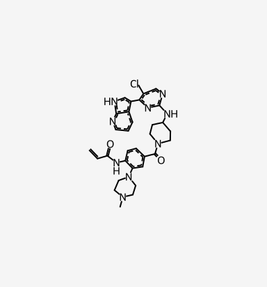 C=CC(=O)Nc1ccc(C(=O)N2CCC(Nc3ncc(Cl)c(-c4c[nH]c5ncccc45)n3)CC2)cc1N1CCN(C)CC1